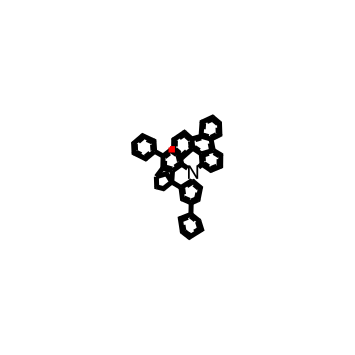 c1ccc(-c2ccc3c(c2)C24CCC(C2)c2c(-c5ccccc5)ccc(c24)N3c2cccc3c4ccccc4c4ccccc4c23)cc1